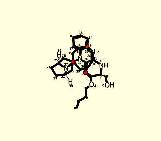 CCCCOC(=O)[C@H](CO)Nc1nc2ccccc2n([C@H]2C[C@H]3CC[C@@H](C2)N3C2CCCCCCC2)c1=O